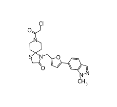 Cn1ncc2ccc(-c3ccc(CN4C(=O)CSC45CCN(C(=O)CCl)CC5)o3)cc21